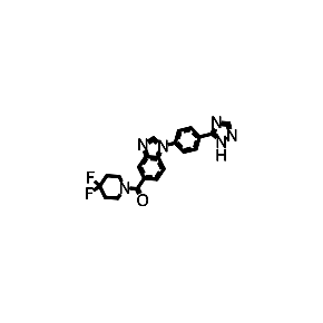 O=C(c1ccc2c(c1)ncn2-c1ccc(-c2ncn[nH]2)cc1)N1CCC(F)(F)CC1